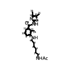 CC(=O)NCCCCCCNc1cccc(C(=O)Nc2nc(C)c(C)s2)c1C